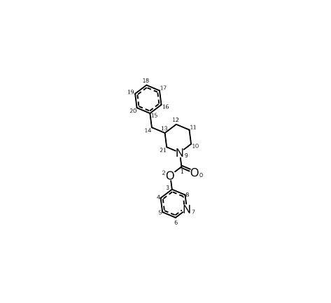 O=C(Oc1cccnc1)N1CCCC(Cc2ccccc2)C1